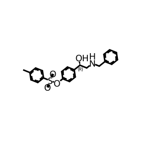 Cc1ccc(S(=O)(=O)Oc2ccc([C@@H](O)CNCc3ccccc3)cc2)cc1